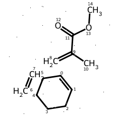 C1=CCCCC1.C=C.C=C(C)C(=O)OC